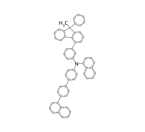 CC1(c2ccccc2)c2ccccc2-c2c(-c3cccc(N(c4ccc(-c5ccc(-c6cccc7ccccc67)cc5)cc4)c4cccc5ccccc45)c3)cccc21